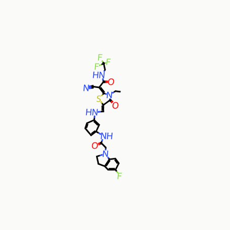 CCn1c(=C(C#N)C(=O)NCC(F)(F)F)sc(=CNc2cccc(NC(=O)CN3CCc4cc(F)ccc43)c2)c1=O